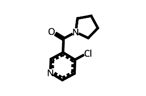 O=C(c1cnccc1Cl)N1CCCC1